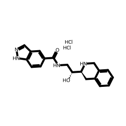 Cl.Cl.O=C(NC[C@@H](O)[C@@H]1Cc2ccccc2CN1)c1ccc2[nH]ncc2c1